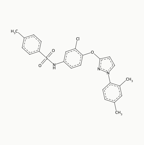 Cc1ccc(S(=O)(=O)Nc2ccc(Oc3ccn(-c4ccc(C)cc4C)n3)c(Cl)c2)cc1